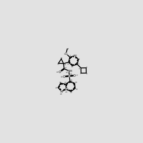 COc1ncc(C2CCC2)cc1C1(C(=O)NS(=O)(=O)c2cccn3nccc23)CC1